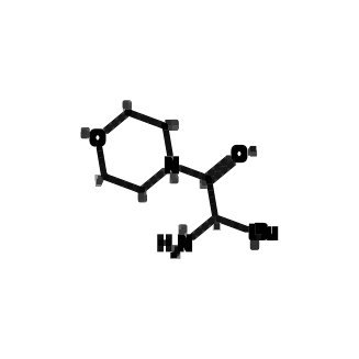 CC(C)(C)C(N)C(=O)N1CCOCC1